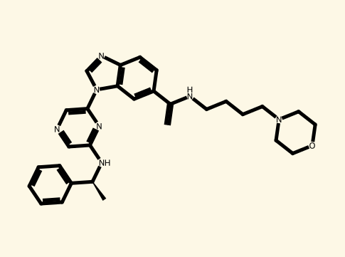 C=C(NCCCCN1CCOCC1)c1ccc2ncn(-c3cncc(N[C@@H](C)c4ccccc4)n3)c2c1